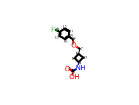 O=C(O)N[C@H]1C[C@@H](COCc2ccc(F)cc2)C1